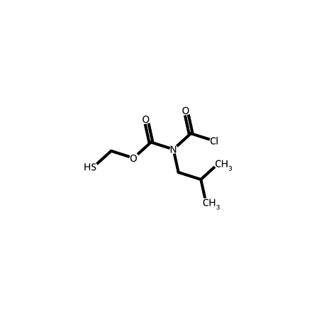 CC(C)CN(C(=O)Cl)C(=O)OCS